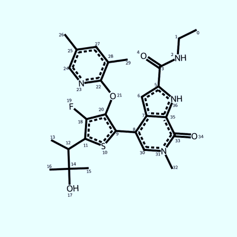 CCNC(=O)c1cc2c(-c3sc(C(C)C(C)(C)O)c(F)c3Oc3ncc(C)cc3C)cn(C)c(=O)c2[nH]1